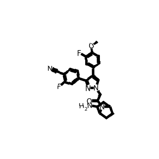 COc1ccc(-c2cn(CC(=O)N3C4CCC3C(N)C4)nc2-c2ccc(C#N)c(F)c2)cc1F